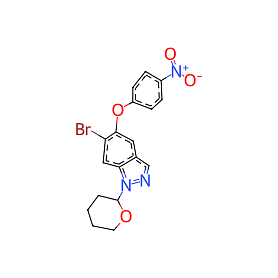 O=[N+]([O-])c1ccc(Oc2cc3cnn(C4CCCCO4)c3cc2Br)cc1